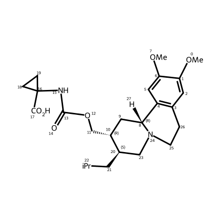 COc1cc2c(cc1OC)[C@H]1C[C@@H](COC(=O)NC3(C(=O)O)CC3)[C@H](CC(C)C)CN1CC2